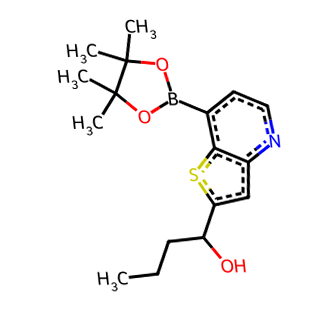 CCCC(O)c1cc2nccc(B3OC(C)(C)C(C)(C)O3)c2s1